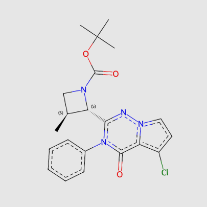 C[C@H]1CN(C(=O)OC(C)(C)C)[C@@H]1c1nn2ccc(Cl)c2c(=O)n1-c1ccccc1